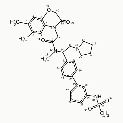 Cc1cc2c(cc1C)N(CC(=O)N(C)C(CN1CCCC1)c1ccc(-c3cccc(NS(C)(=O)=O)c3)cc1)C(=O)CO2